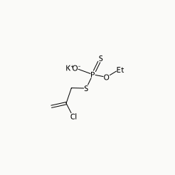 C=C(Cl)CSP([O-])(=S)OCC.[K+]